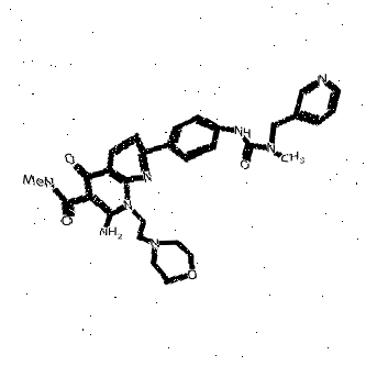 CNC(=O)c1c(N)n(CCN2CCOCC2)c2nc(-c3ccc(NC(=O)N(C)Cc4cccnc4)cc3)ccc2c1=O